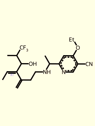 C=C(CCNC(C)c1cc(OCC)c(C#N)cn1)/C(=C\C)C(O)C(C)C(F)(F)F